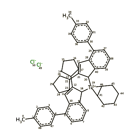 Cc1ccc(-c2cccc3c2C=C(C2CCCC2)[CH]3[Ti+2]2([CH]3C(C4CCCC4)=Cc4c(-c5ccc(C)cc5)cccc43)[CH]3CCCC[CH]32)cc1.[Cl-].[Cl-]